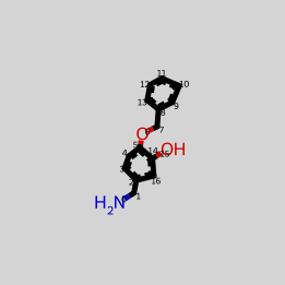 NCc1ccc(OCc2ccccc2)c(O)c1